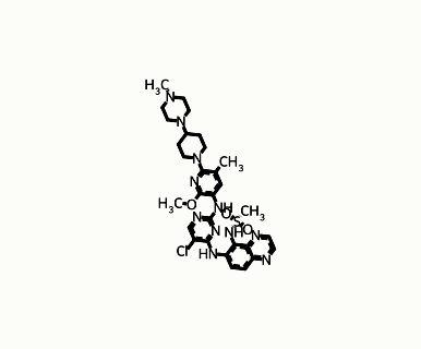 COc1nc(N2CCC(N3CCN(C)CC3)CC2)c(C)cc1Nc1ncc(Cl)c(Nc2ccc3nccnc3c2NS(C)(=O)=O)n1